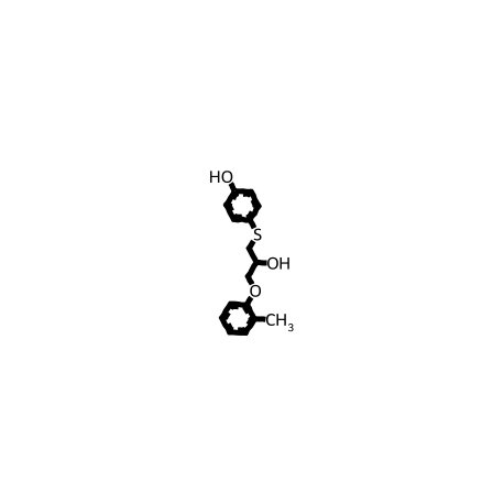 Cc1ccccc1OCC(O)CSc1ccc(O)cc1